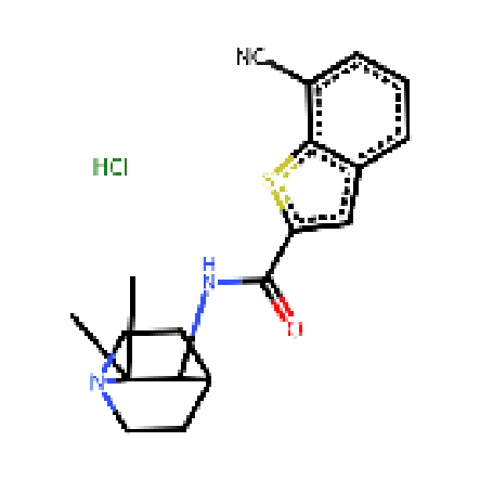 CC1(C)C(NC(=O)c2cc3cccc(C#N)c3s2)C2CCN1CC2.Cl